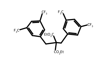 CCOC(=O)C(Cc1cc(C(F)(F)F)cc(C(F)(F)F)c1)(Cc1cc(C(F)(F)F)cc(C(F)(F)F)c1)C(=O)OCC